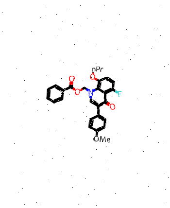 CCCOc1ccc(F)c2c(=O)c(-c3ccc(OC)cc3)cn(COC(=O)c3ccccc3)c12